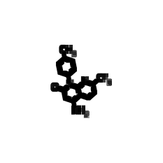 Cc1ccc(-n2c(=O)cc(N)c3ccc(C(F)(F)F)nc32)cc1